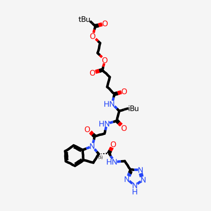 CCC(C)C(NC(=O)CCC(=O)OCCOC(=O)C(C)(C)C)C(=O)NCC(=O)N1c2ccccc2C[C@H]1C(=O)NCc1nn[nH]n1